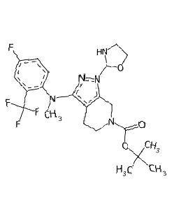 CN(c1ccc(F)cc1C(F)(F)F)c1nn(C2NCCO2)c2c1CCN(C(=O)OC(C)(C)C)C2